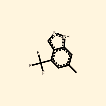 Cc1cc(C(F)(F)F)c2cn[nH]c2c1